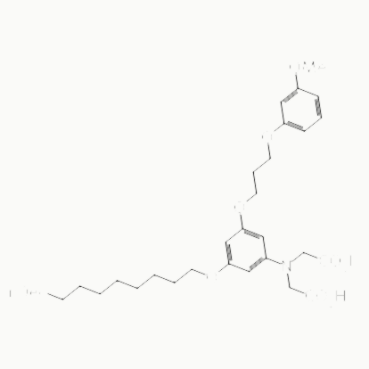 CCCCCCCCCCCCCCCCCCOc1cc(OCCCOc2cccc(OC)c2)cc(N(CC(=O)O)CC(=O)O)c1